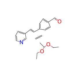 C=C.CCOC(C)OCC.O=Cc1ccc(/C=C/c2cccnc2)cc1